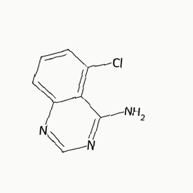 Nc1ncnc2cccc(Cl)c12